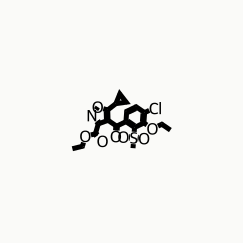 CCOC(=O)c1noc(C2CC2)c1C(=O)c1ccc(Cl)c(OCC)c1S(C)(=O)=O